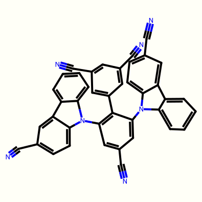 N#Cc1cc(C#N)cc(-c2c(-n3c4ccccc4c4cc(C#N)ccc43)cc(C#N)cc2-n2c3ccccc3c3cc(C#N)ccc32)c1